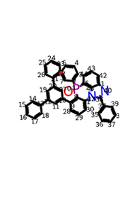 O=P1(c2ccccc2)c2c(-c3cc(-c4ccccc4)cc(-c4ccccc4)c3)cccc2-n2c(-c3ccccc3)nc3cccc1c32